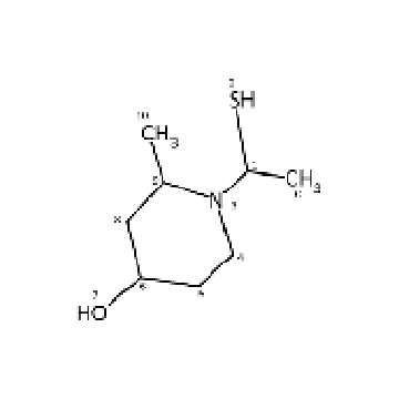 CC(S)N1CCC(O)CC1C